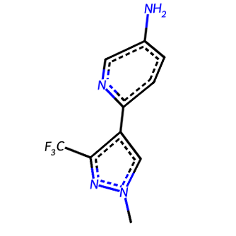 Cn1cc(-c2ccc(N)cn2)c(C(F)(F)F)n1